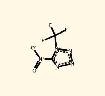 O=[N+]([O-])c1nnnn1C(F)(F)F